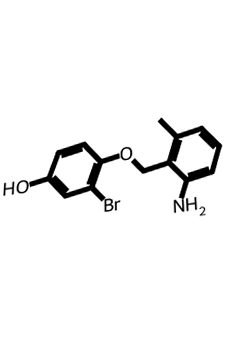 Cc1cccc(N)c1COc1ccc(O)cc1Br